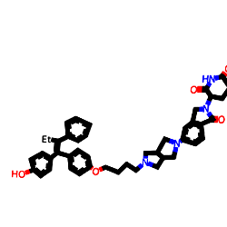 CCC(=C(c1ccc(O)cc1)c1ccc(OCCCCN2CC3CN(c4ccc5c(c4)CN(C4CCC(=O)NC4=O)C5=O)CC3C2)cc1)c1ccccc1